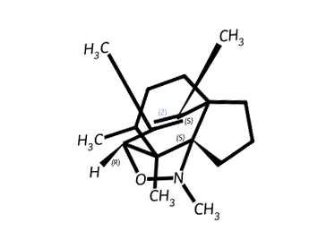 C/C1=C/[C@H](C)C23CCC[C@]24N(C)O[C@H](C1)C4(C)C(C)CC3